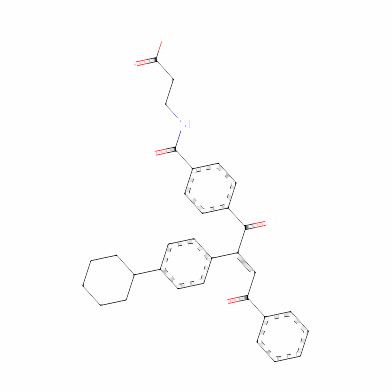 O=C(O)CCNC(=O)c1ccc(C(=O)/C(=C/C(=O)c2ccccc2)c2ccc(C3CCCCC3)cc2)cc1